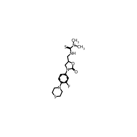 CN(C)C(=S)NCC1CN(c2ccc(N3CCSCC3)c(F)c2)C(=O)O1